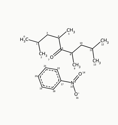 CC(C)CC(C)C(=O)C(C)CC(C)C.O=[N+]([O-])c1ccccc1